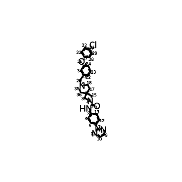 O=C(Nc1ccc(-n2nccn2)cc1)N1CC2(CCN(Cc3cccc(Oc4ccc(Cl)cc4)c3)CC2)C1